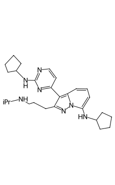 CC(C)NCCCc1nn2c(NC3CCCC3)cccc2c1-c1ccnc(NC2CCCC2)n1